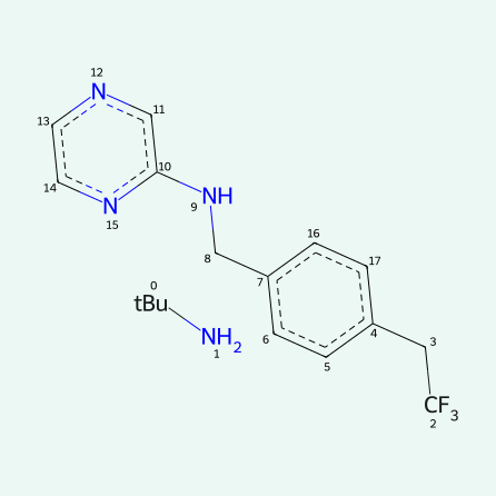 CC(C)(C)N.FC(F)(F)Cc1ccc(CNc2cnccn2)cc1